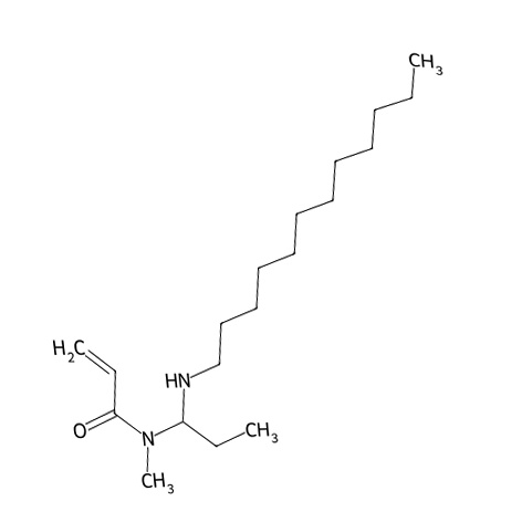 C=CC(=O)N(C)C(CC)NCCCCCCCCCCCC